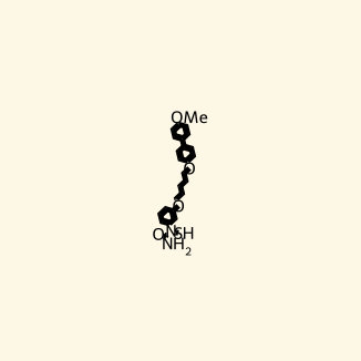 COc1ccc(-c2ccc(OCCCCCOc3cccc(N(S)C(N)=O)c3)cc2)cc1